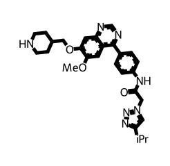 COc1cc2c(-c3ccc(NC(=O)Cn4cc(C(C)C)nn4)cc3)ncnc2cc1OCC1CCNCC1